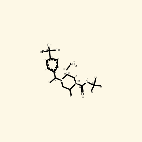 CC1CN(C(C)c2ccc(C(F)(F)F)cc2)[C@H](CN)CN1C(=O)OC(C)(C)C